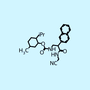 CC1CCC(C(C)C)C(OC(=O)NCC(C(=O)NCC#N)c2ccc3ccccc3c2)C1